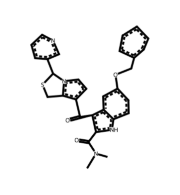 CN(C)C(=O)c1[nH]c2ccc(OCc3ccccc3)cc2c1C(=O)c1ccn2c1CSC2c1cccnc1